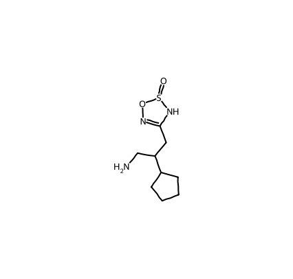 NCC(CC1=NOS(=O)N1)C1CCCC1